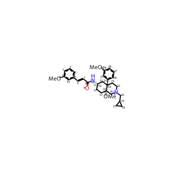 COc1cccc(C=CC(=O)N[C@H]2CC[C@]3(OC)CN(CC4CC4)CC[C@@]3(c3cccc(OC)c3)C2)c1